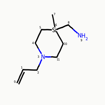 C=CCN1CC[Si](C)(CN)CC1